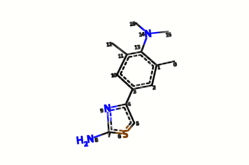 Cc1cc(-c2csc(N)n2)cc(C)c1N(C)C